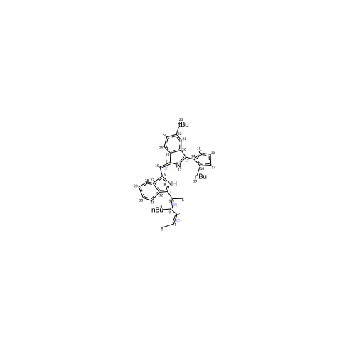 C/C=C\C(CCCC)=C(/C)c1[nH]c(/C=C2\N=C(c3sccc3CCCC)c3cc(C(C)(C)C)ccc32)c2ccccc12